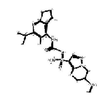 CNC1COc2c(S(N)(=O)=NC(=O)Nc3c(C)c(C(C)C)nc4c3CCC4)cnn2C1